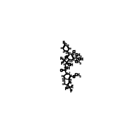 COc1cc(C(=O)NCC(O)(c2cc(C(C)(C)O)c(Cl)c(-c3ccc(F)cc3)n2)C(F)(F)F)cc2ccc(C(F)(F)F)nc12